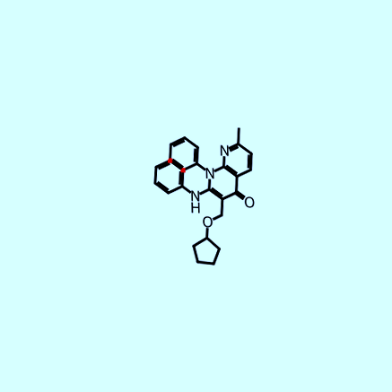 Cc1ccc2c(=O)c(COC3CCCC3)c(Nc3ccccc3)n(-c3ccccc3)c2n1